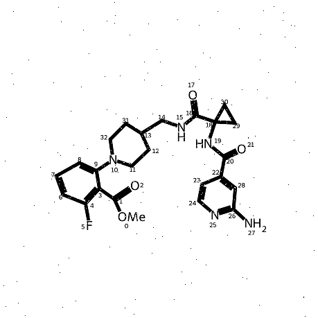 COC(=O)c1c(F)cccc1N1CCC(CNC(=O)C2(NC(=O)c3ccnc(N)c3)CC2)CC1